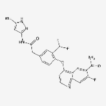 CC(C)(C)c1cc(NC(=O)Cc2ccc(Oc3ccnc4cc(F)c(C(N)=O)cc34)c(C(F)F)c2)n[nH]1